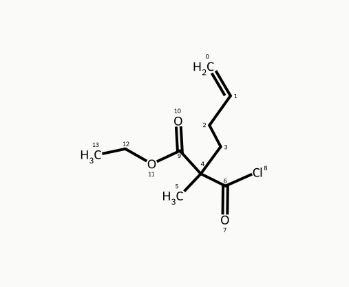 C=CCCC(C)(C(=O)Cl)C(=O)OCC